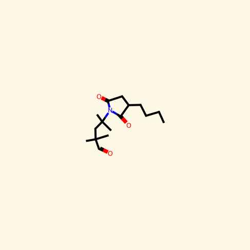 CCCCC1CC(=O)N(C(C)(C)CC(C)(C)C=O)C1=O